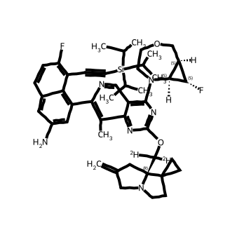 [2H]C([2H])(Oc1nc(N2CCOC[C@H]3[C@H](F)[C@H]32)c2cnc(-c3cc(N)cc4ccc(F)c(C#C[Si](C(C)C)(C(C)C)C(C)C)c34)c(C)c2n1)[C@]12CC(=C)CN1CCC21CC1